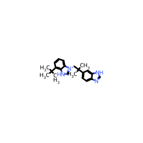 CC(C)(C)c1cccc2c1[nH]c[n+]2CC(C)(C)c1ccc2nc[nH]c2c1